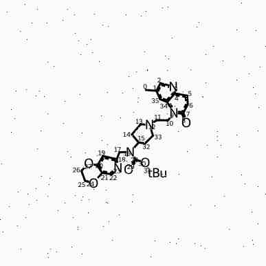 Cc1cnc2ccc(=O)n(CCN3CCC(N(Cc4cc5c(cn4)OCCO5)C(=O)OC(C)(C)C)CC3)c2c1